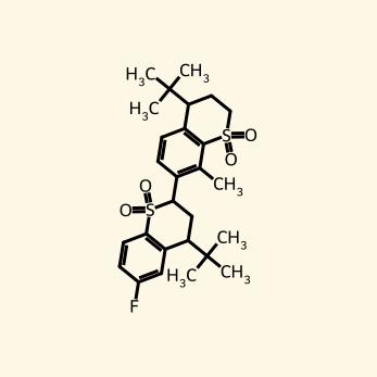 Cc1c(C2CC(C(C)(C)C)c3cc(F)ccc3S2(=O)=O)ccc2c1S(=O)(=O)CCC2C(C)(C)C